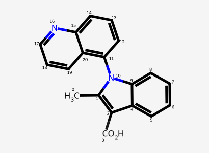 Cc1c(C(=O)O)c2ccccc2n1-c1cccc2ncccc12